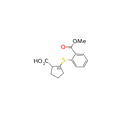 COC(=O)c1ccccc1S[C@H]1CCCC1C(=O)O